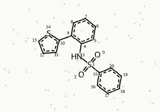 O=S(=O)(Nc1ccccc1-c1cccs1)c1ccccc1